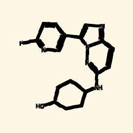 OC1CCC(Nc2ccc3ncc(-c4ccc(F)nc4)n3n2)CC1